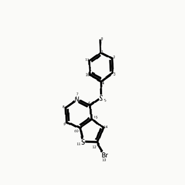 Cc1ccc(Sc2nccc3sc(Br)cc23)cc1